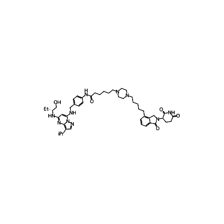 CC[C@H](CO)Nc1cc(NCc2ccc(NC(=O)CCCCCN3CCN(CCCCCc4cccc5c4CN(C4CCC(=O)NC4=O)C5=O)CC3)cc2)n2ncc(C(C)C)c2n1